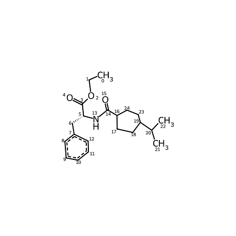 CCOC(=O)[C@@H](Cc1ccccc1)NC(=O)C1CCC(C(C)C)CC1